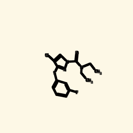 CCN(CC)C(=O)n1cc(Cl)c(Sc2cccc(F)c2)n1